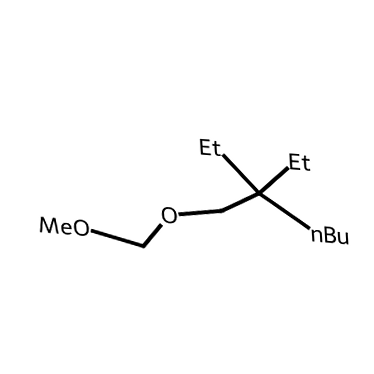 CCCCC(CC)(CC)COCOC